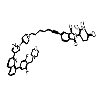 O=C1CCC(N2C(=O)c3ccc(C#CCCCCCN4CCC(N5CC(c6ccc7cccc(-c8cc(F)c(CN9CCOCC9)c(F)c8)c7n6)C=N5)CC4)cc3C2=O)C(=O)N1